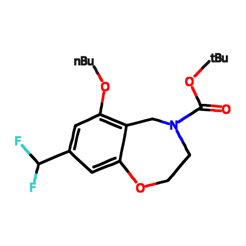 CCCCOc1cc(C(F)F)cc2c1CN(C(=O)OC(C)(C)C)CCO2